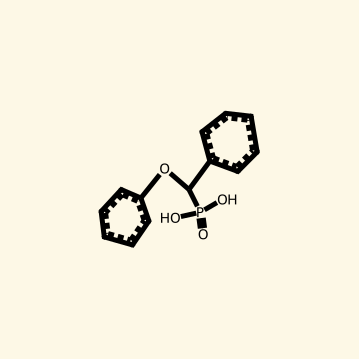 O=P(O)(O)C(Oc1ccccc1)c1ccccc1